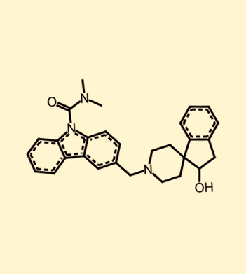 CN(C)C(=O)n1c2ccccc2c2cc(CN3CCC4(CC3)c3ccccc3CC4O)ccc21